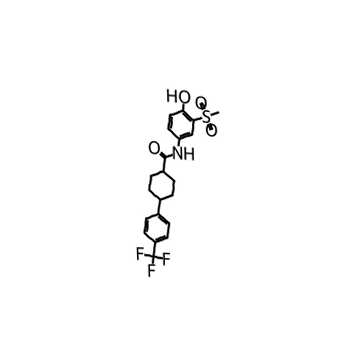 CS(=O)(=O)c1cc(NC(=O)C2CCC(c3ccc(C(F)(F)F)cc3)CC2)ccc1O